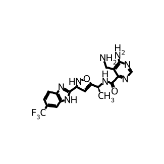 C[C@H](NC(=O)c1ncnc(N)c1CN)C1=CC(c2nc3ccc(C(F)(F)F)cc3[nH]2)NO1